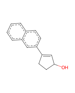 OC1C=C(c2ccc3ccccc3c2)CC1